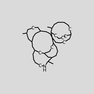 CC1CCCC2CCC(C1)CC1CCCCNC(C)C3CCCC(CCC(C1)C3)C1(CCCCC3CCCCCC(C)C1CCCC3)CC2